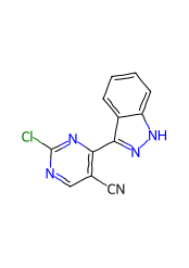 N#Cc1cnc(Cl)nc1-c1n[nH]c2ccccc12